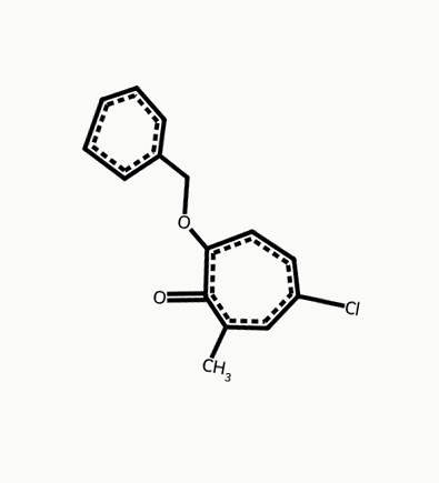 Cc1cc(Cl)ccc(OCc2ccccc2)c1=O